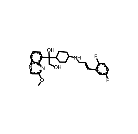 COc1cnc2cccc(C(O)(CO)C3CCC(NC/C=C/c4cc(F)ccc4F)CC3)c2n1